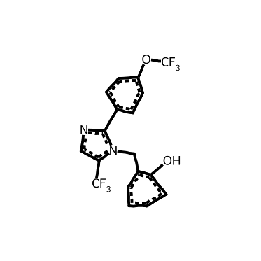 Oc1ccccc1Cn1c(C(F)(F)F)cnc1-c1ccc(OC(F)(F)F)cc1